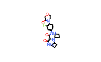 NC(=O)[C@@H](C(=O)Nc1ccc(N2CCOCC2=O)c(F)c1)N(C1CCC1)C1CCC1